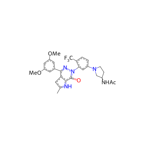 COc1cc(OC)cc(-c2nn(-c3cc(N4CC[C@@H](NC(C)=O)C4)ccc3C(F)(F)F)c(=O)c3[nH]c(C)cc23)c1